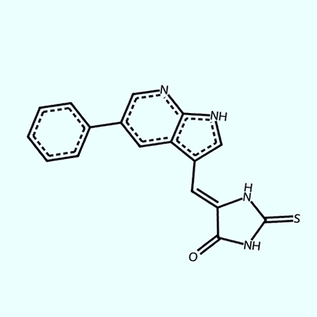 O=C1NC(=S)NC1=Cc1c[nH]c2ncc(-c3ccccc3)cc12